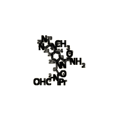 CC(C)N(CC=O)C(=O)Cn1nc(C(N)=O)c2cc(N(C)c3cncnc3)ccc21